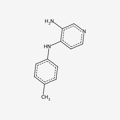 Cc1ccc(Nc2ccncc2N)cc1